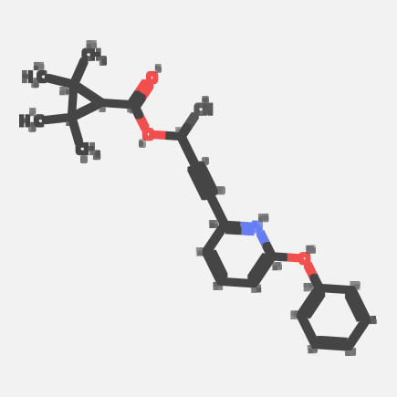 CC1(C)C(C(=O)OC(C#N)C#Cc2cccc(Oc3ccccc3)n2)C1(C)C